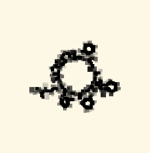 C[C@@H]1NC(=O)[C@H](Cc2c[nH]c3ccccc23)NC(=O)[C@H](Cc2ccccc2)NC(=O)[C@H](Cc2ccccc2)NC(=O)[C@H](CCCNC(=N)N)NC(=O)[C@@H]2CCCN2C(=O)[C@H]2CCCN2C(=O)[C@H](Cc2ccccc2)NC1=O